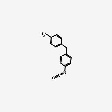 Nc1ccc(Cc2ccc(N=C=O)cc2)cc1